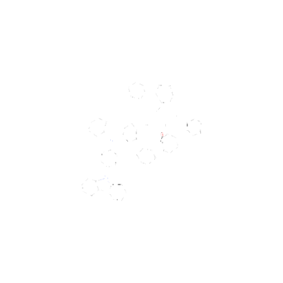 c1ccc(N(c2ccc(-n3c4ccccc4c4ccccc43)cc2)c2ccc3c(c2)-c2ccccc2C2CCC34CC3CC5(CCC6CC(C2)(c2ccccc2-c2ccccc26)C54)c2ccccc2-c2ccccc23)cc1